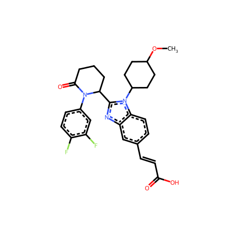 COC1CCC(n2c(C3CCCC(=O)N3c3ccc(F)c(F)c3)nc3cc(/C=C/C(=O)O)ccc32)CC1